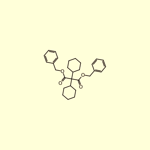 O=C(OCc1ccccc1)C(C(=O)OCc1ccccc1)(C1CCCCC1)C1CCCCC1